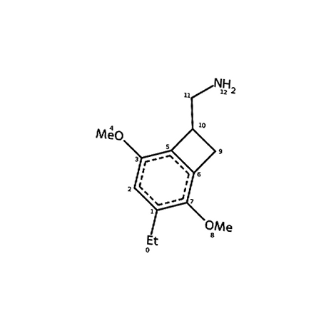 CCc1cc(OC)c2c(c1OC)CC2CN